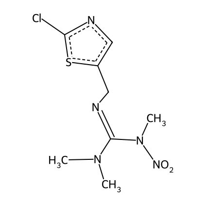 CN(C)C(=NCc1cnc(Cl)s1)N(C)[N+](=O)[O-]